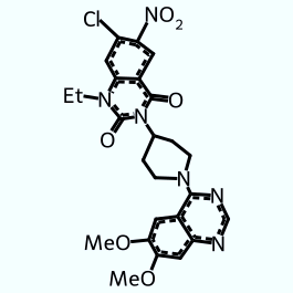 CCn1c(=O)n(C2CCN(c3ncnc4cc(OC)c(OC)cc34)CC2)c(=O)c2cc([N+](=O)[O-])c(Cl)cc21